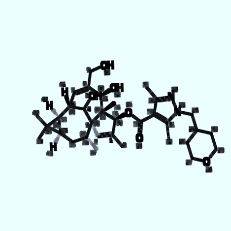 CC1=C[C@]23C(O)[C@@H](C=C(CO)[C@@H](O)[C@]2(C)[C@H]1OC(=O)c1c(C)nn(CC2CCOCC2)c1C)[C@H]1[C@@H](C[C@H]3C)C1(C)C